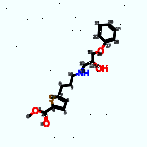 COC(=O)c1ccc(CCCNC[C@H](O)COc2ccccc2)s1